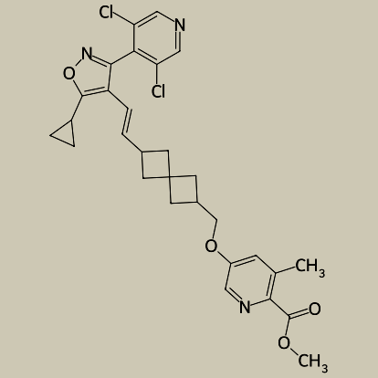 COC(=O)c1ncc(OCC2CC3(CC(/C=C/c4c(-c5c(Cl)cncc5Cl)noc4C4CC4)C3)C2)cc1C